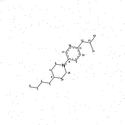 CCCCC1CCN(c2ccc(CC(C)C)cc2)CC1